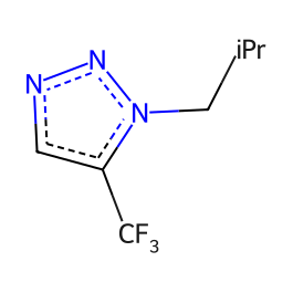 CC(C)Cn1nncc1C(F)(F)F